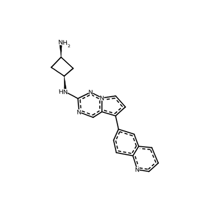 N[C@H]1C[C@@H](Nc2ncc3c(-c4ccc5ncccc5c4)ccn3n2)C1